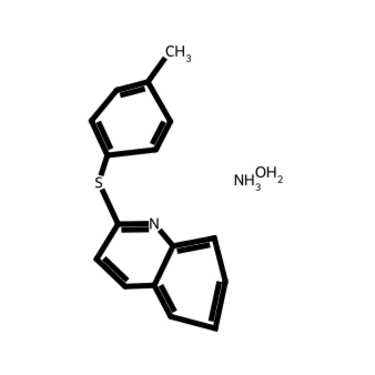 Cc1ccc(Sc2ccc3ccccc3n2)cc1.N.O